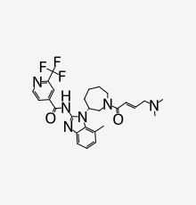 Cc1cccc2nc(NC(=O)c3ccnc(C(F)(F)F)c3)n([C@@H]3CCCCN(C(=O)/C=C/CN(C)C)C3)c12